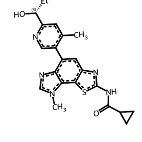 CC[C@@H](O)c1cc(C)c(-c2cc3nc(NC(=O)C4CC4)sc3c3c2ncn3C)cn1